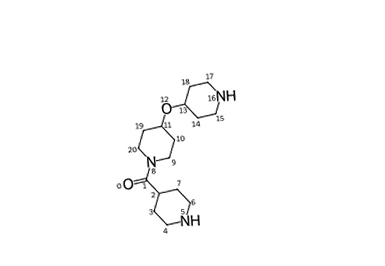 O=C(C1CCNCC1)N1CCC(OC2CCNCC2)CC1